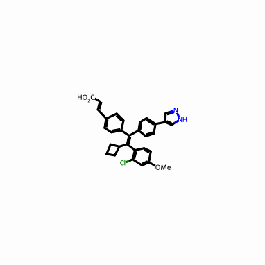 COc1ccc(C(=C(c2ccc(C=CC(=O)O)cc2)c2ccc(-c3cn[nH]c3)cc2)C2CCC2)c(Cl)c1